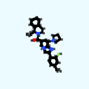 Cc1ccc(-c2cn3cc(C(=O)N4CCc5ccccc5C4C)cc(N4CCCC4)c3n2)c(F)c1